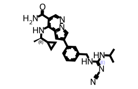 CC(C)N/C(=N/C#N)NCc1cccc(-c2cc3c(N[C@H](C)C4CC4)c(C(N)=O)cnn3c2)c1